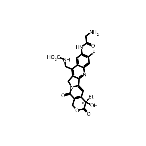 CC[C@@]1(O)C(=O)OCc2c1cc1n(c2=O)Cc2c-1nc1cc(F)c(NC(=O)CN)cc1c2CNC(=O)O